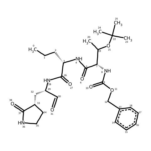 CCC[C@H](NC(=O)[C@@H](NC(=O)OCc1ccccc1)C(C)OC(C)(C)C)C(=O)N[C@H](C=O)C[C@@H]1CCNC1=O